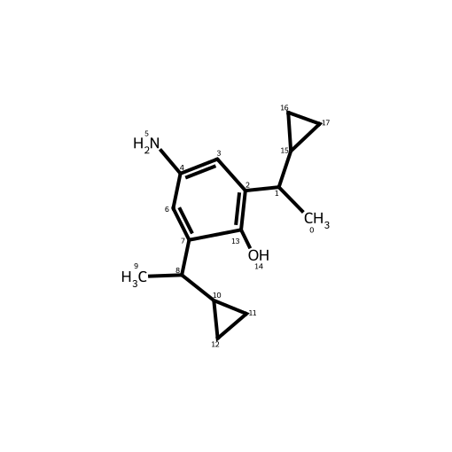 CC(c1cc(N)cc(C(C)C2CC2)c1O)C1CC1